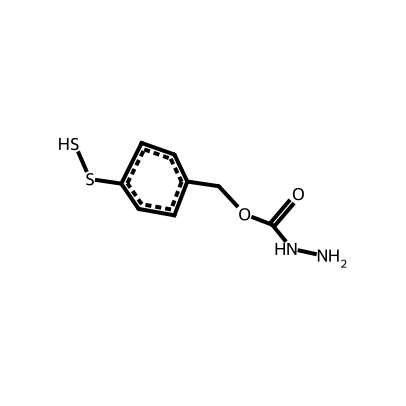 NNC(=O)OCc1ccc(SS)cc1